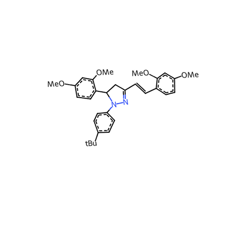 COc1ccc(C=CC2=NN(c3ccc(C(C)(C)C)cc3)C(c3ccc(OC)cc3OC)C2)c(OC)c1